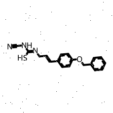 N#CNC(S)=NCC=Cc1ccc(OCc2ccccc2)cc1